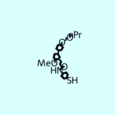 CCCOCCOc1ccc(-c2ccc(OC)c(/C=C/C(=O)Nc3ccc(S)cc3)c2)cc1